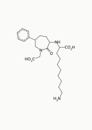 NCCCCCCCCC(NC1CCC(c2ccccc2)CN(CC(=O)O)C1=O)C(=O)O